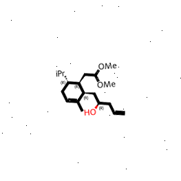 C=CC[C@@H](O)C[C@H]1C(C)=CC[C@H](C(C)C)[C@H]1CC(OC)OC